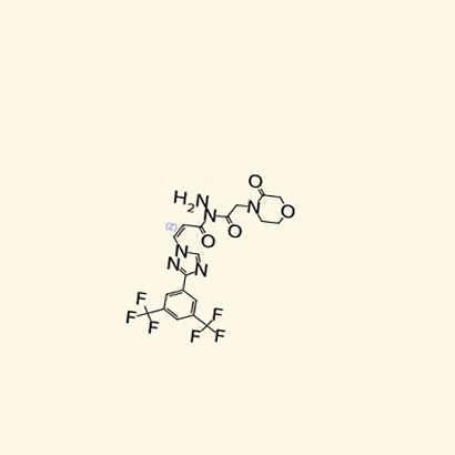 NN(C(=O)/C=C\n1cnc(-c2cc(C(F)(F)F)cc(C(F)(F)F)c2)n1)C(=O)CN1CCOCC1=O